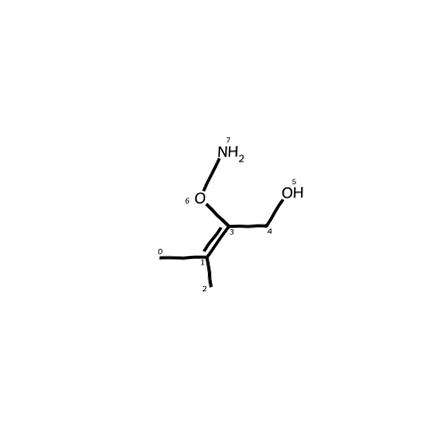 CC(C)=C(CO)ON